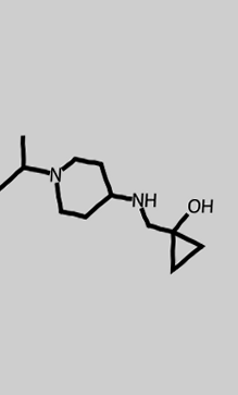 CC(C)N1CCC(NCC2(O)CC2)CC1